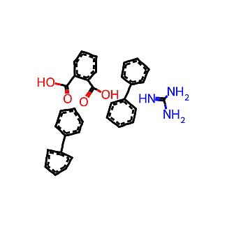 N=C(N)N.O=C(O)c1ccccc1C(=O)O.c1ccc(-c2ccccc2)cc1.c1ccc(-c2ccccc2)cc1